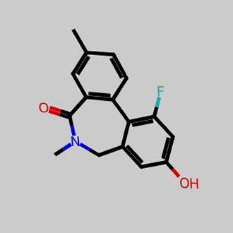 Cc1ccc2c(c1)C(=O)N(C)Cc1cc(O)cc(F)c1-2